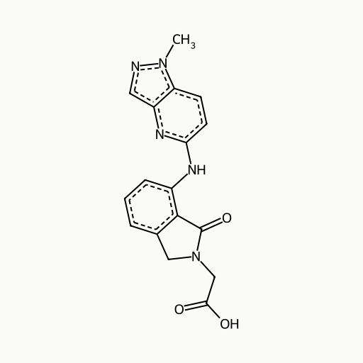 Cn1ncc2nc(Nc3cccc4c3C(=O)N(CC(=O)O)C4)ccc21